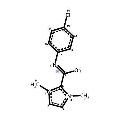 Cn1cc[n+](C)c1/C([O-])=N/c1ccc(Cl)cc1